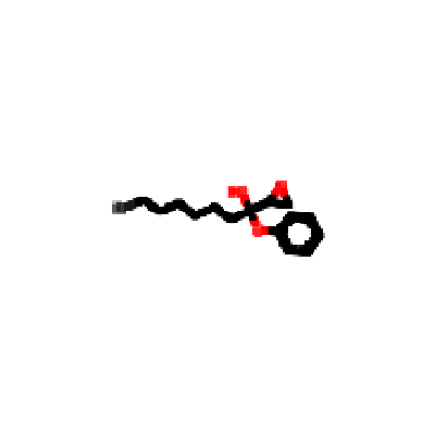 CC(C)CCCCCCC(O)(Oc1ccccc1)C1CO1